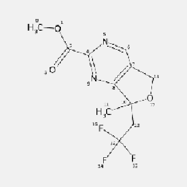 COC(=O)c1ncc2c(n1)C(C)(CC(F)(F)F)OC2